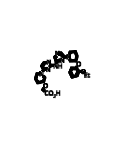 CCOc1ccccc1O[C@@H]1CCCN(c2cncc(Nc3nccc(N4CCC[C@@H](OCC(=O)O)C4)n3)n2)C1